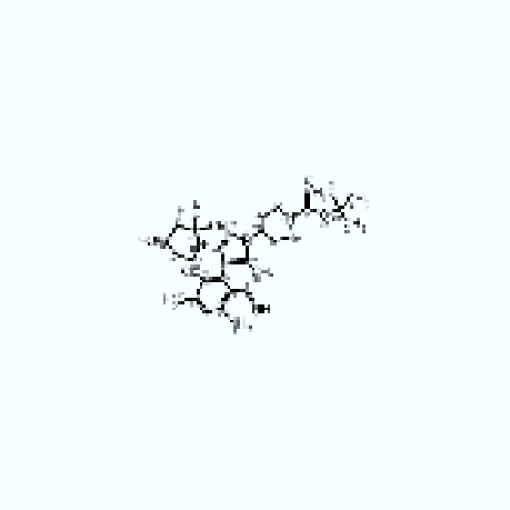 Cc1cc(N)c(C=N)c(-c2c(N3CCC(=O)CC3(C)C)nn(C3CCN(C(=O)OC(C)(C)C)CC3)c2C)c1Cl